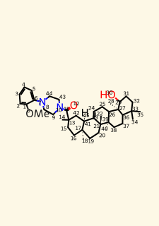 COc1ccccc1N1CCN(C(=O)C2(C)CC[C@]3(C)CC[C@]4(C)C(=CCC5[C@@]6(C)C(O)CCC(C)(C)C6CC[C@]54C)[C@@H]3C2)CC1